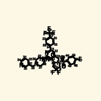 NC(=O)[C@@H]1CC(F)(F)C[N+]1(Cc1cc(-c2ccc(C(F)(F)F)cc2)nc(N2CCN(Cc3cccnc3)CC2)c1)S(=O)(=O)c1ccc(F)cc1